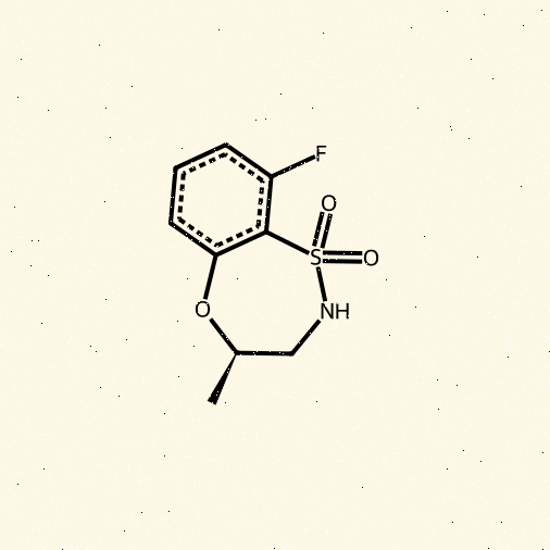 C[C@@H]1CNS(=O)(=O)c2c(F)cccc2O1